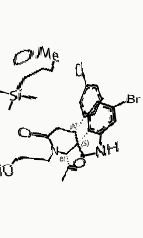 C=C(C)[C@@H]1N(CCO)C(=O)C[C@H](c2cccc(Cl)c2)[C@@]12C(=O)Nc1cc(Br)ccc12.COCC[Si](C)(C)C